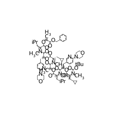 CC(C)C[C@@H](C(=O)O[C@H](C)C(=O)N(C)[C@@H](CC1CC1)C(=O)O[C@H](Cc1ccc(N2CCOCC2)nc1)C(=O)N(C)[C@@H](CC(C)C)C(=O)O[C@H](C)C(=O)OCc1ccccc1)N(C)C(=O)[C@@H](Cc1ccc(N2CCOCC2)nc1)OC(=O)[C@H](CC1CC1)N(C)C(=O)OC(C)(C)C